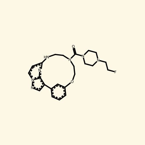 O=C(N1CCNc2ccn3ncc(c3n2)-c2cccc(c2)OCC1)N1CCN(CCF)CC1